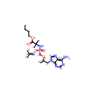 CCCCOC(=O)C(C)(C)NP(=O)(COC(C)Cn1cnc2c(N)ncnc21)ON=C(C)C